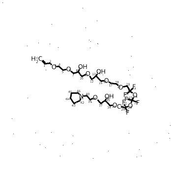 C=CCOCCOCC(O)COCC(O)COCCOCC(F)(F)OC(F)(F)OC(F)(F)COCC(O)COCCN1CCCCC1